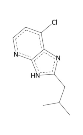 CC(C)Cc1nc2c(Cl)ccnc2[nH]1